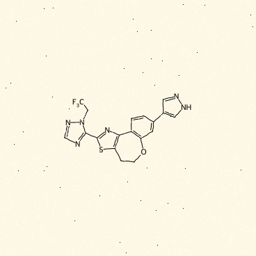 FC(F)(F)Cn1ncnc1-c1nc2c(s1)CCOc1cc(-c3cn[nH]c3)ccc1-2